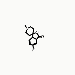 CN1CCC2(CC1)OC(=O)C1C=C(F)C=CC12